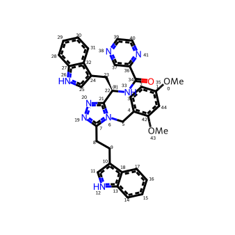 COc1ccc(Cn2c(CCc3c[nH]c4ccccc34)nnc2[C@@H](Cc2c[nH]c3ccccc23)NC(=O)c2cnccn2)c(OC)c1